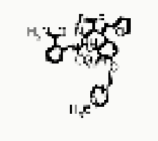 Cc1c(-c2c(-c3ccco3)sc3ncnc(N[C@H](Cc4ccccc4C(N)=O)C(=O)O)c23)ccc(OCCN2CCN(C)CC2)c1Cl